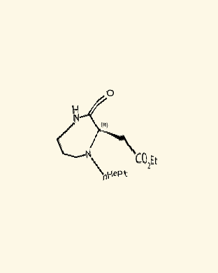 CCCCCCCN1CCNC(=O)[C@H]1CC(=O)OCC